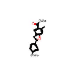 COC(=O)c1cc2c(cc1C)OC(c1ccc(OC)cc1)C2